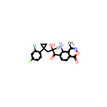 Cc1noc(=O)c2ccc(C(=O)C(O)(CC3(c4ccc(F)cc4Cl)CC3)C(F)(F)F)c(N)c12